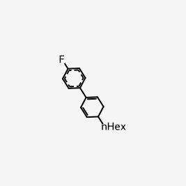 CCCCCCC1C=CC(c2ccc(F)cc2)=CC1